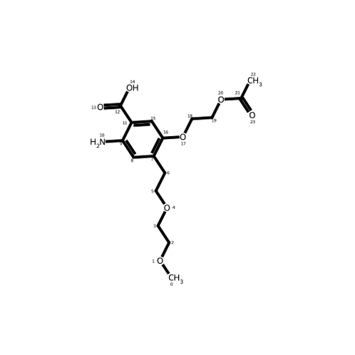 COCCOCCc1cc(N)c(C(=O)O)cc1OCCOC(C)=O